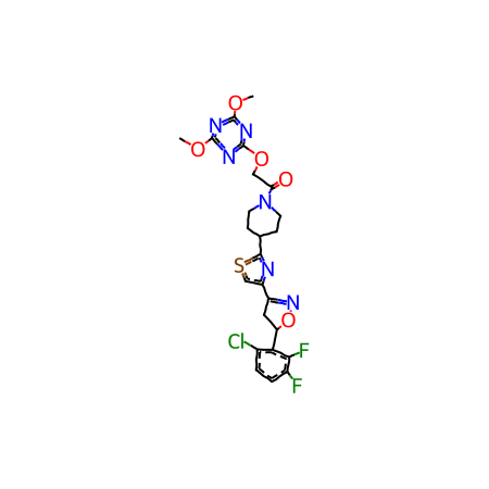 COc1nc(OC)nc(OCC(=O)N2CCC(c3nc(C4=NOC(c5c(Cl)ccc(F)c5F)C4)cs3)CC2)n1